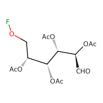 CC(=O)O[C@@H]([C@H](OC(C)=O)[C@@H](COF)OC(C)=O)[C@H](C=O)OC(C)=O